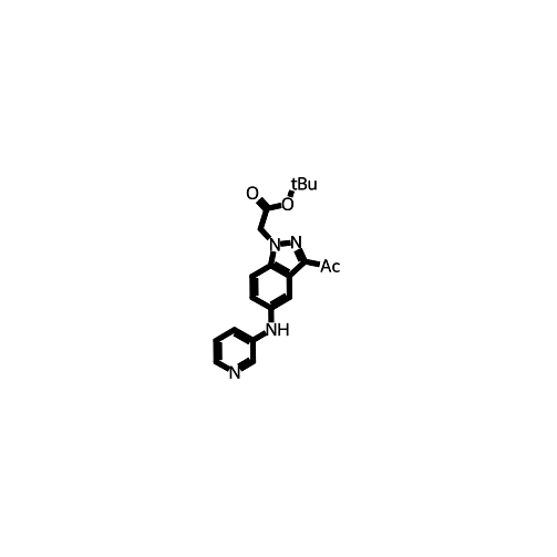 CC(=O)c1nn(CC(=O)OC(C)(C)C)c2ccc(Nc3cccnc3)cc12